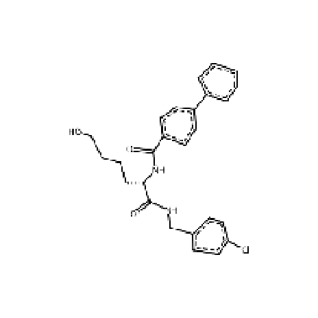 O=C(N[C@@H](CCCCO)C(=O)NCc1ccc(Cl)cc1)c1ccc(-c2ccccc2)cc1